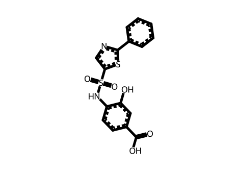 O=C(O)c1ccc(NS(=O)(=O)c2cnc(-c3ccccc3)s2)c(O)c1